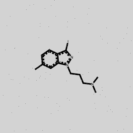 Cc1ccc2c(I)nn(CCCN(C)C)c2c1